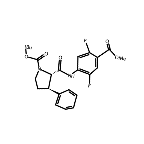 COC(=O)c1cc(F)c(NC(=O)[C@@H]2[C@@H](c3ccccc3)CCN2C(=O)OC(C)(C)C)cc1F